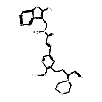 CNc1ncc(/C=C/C(=O)N(C)Cc2c(C)oc3ccccc23)cc1CCC(C=O)N1CCOCC1